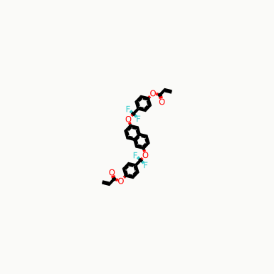 C=CC(=O)Oc1ccc(C(F)(F)Oc2ccc3cc(OC(F)(F)c4ccc(OC(=O)C=C)cc4)ccc3c2)cc1